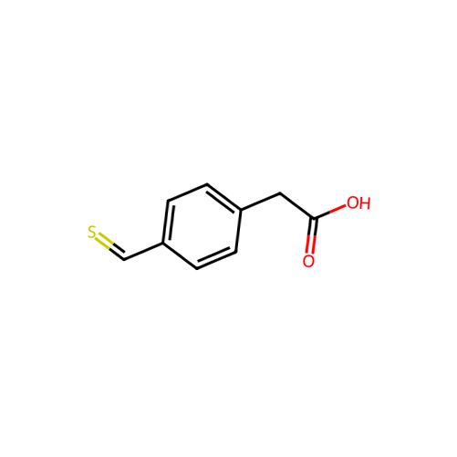 O=C(O)Cc1ccc(C=S)cc1